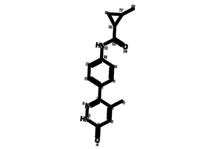 Cc1cc(=O)[nH]nc1-c1ccc(NC(=O)C2CC2C)cc1